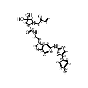 C=CC(=O)CN1CC(O)(S)C[C@H]1C(=O)NCCn1cnc2cnc(Nc3ncc(-c4ccc(F)cc4)s3)cc21